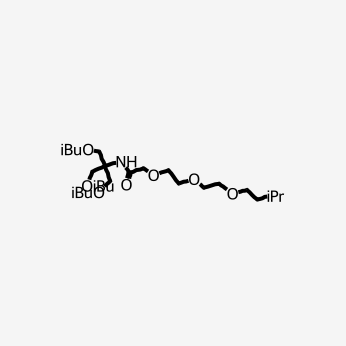 CC(C)CCOCCOCCOCC(=O)NC(COCC(C)C)(COCC(C)C)COCC(C)C